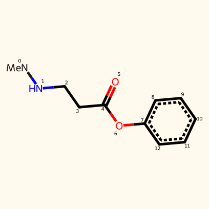 CNNCCC(=O)Oc1ccccc1